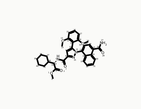 COC(=O)[C@@H](NC(=O)c1cc(-c2c(OC)cccc2OC)n(-c2ccc(C(N)=O)c3ccccc23)n1)C1CCCCC1